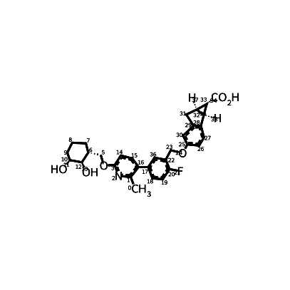 Cc1nc(OC[C@H]2CCC[C@H](O)[C@@H]2O)ccc1-c1ccc(F)c(COc2ccc3c(c2)C[C@H]2[C@H](C(=O)O)[C@@H]32)c1